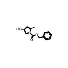 C[C@@H]1C[C@@H](O)CN1C(=O)OCc1ccccc1